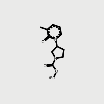 Cc1cccn(C2CCN(C(=O)OC(C)(C)C)C2)c1=O